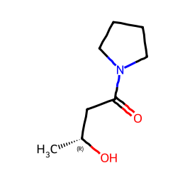 C[C@@H](O)CC(=O)N1CCCC1